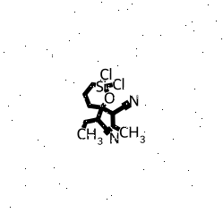 CCC(C#N)C1(C(C#N)CC)CCC[Si](Cl)(Cl)O1